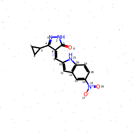 O=C1NN=C(C2CC2)/C1=C/c1cc2cc([N+](=O)[O-])ccc2[nH]1